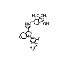 COc1ncc(-n2nc(-c3cnn(CC4CCN5C(O)OC(C)(C)C5C4)c3)c3c2CCOCC3)cc1F